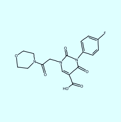 O=C(O)c1cn(CC(=O)N2CCOCC2)c(=O)n(-c2ccc(F)cc2)c1=O